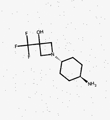 N[C@H]1CC[C@H](N2CC(O)(C(F)(F)F)C2)CC1